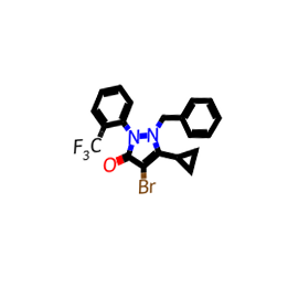 O=c1c(Br)c(C2CC2)n(Cc2ccccc2)n1-c1ccccc1C(F)(F)F